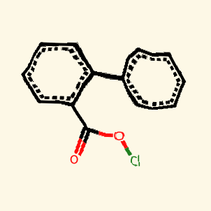 O=C(OCl)c1ccccc1-c1ccccc1